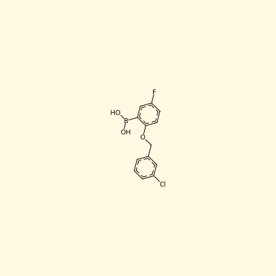 OB(O)c1cc(F)ccc1OCc1cccc(Cl)c1